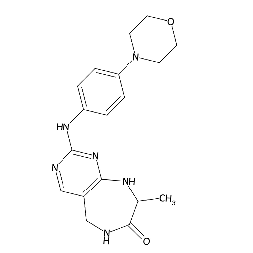 CC1Nc2nc(Nc3ccc(N4CCOCC4)cc3)ncc2CNC1=O